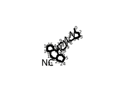 Cc1cccc(C=NN2CCN(C3c4ccccc4C=C(C#N)c4ccccc43)CC2)n1